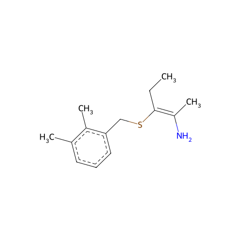 CC/C(SCc1cccc(C)c1C)=C(\C)N